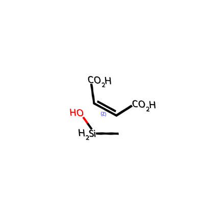 C[SiH2]O.O=C(O)/C=C\C(=O)O